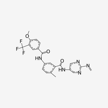 C=Nc1ncc(NC(=O)c2cc(NC(=O)c3ccc(OC)c(C(F)(F)F)c3)ccc2C)cn1